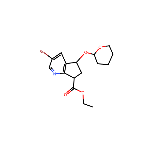 CCOC(=O)C1CC(OC2CCCCO2)c2cc(Br)cnc21